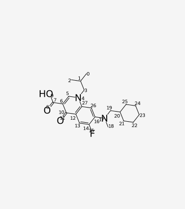 CC(C)Cn1cc(C(=O)O)c(=O)c2cc(F)c(N(C)CC3CCCCC3)cc21